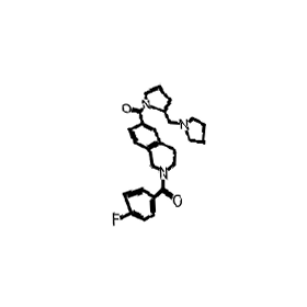 O=C(c1ccc(F)cc1)N1CCc2cc(C(=O)N3CCCC3CN3CCCC3)ccc2C1